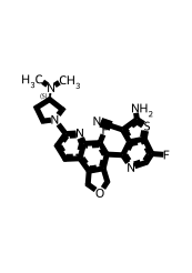 CN(C)[C@H]1CCN(c2ccc3c4c(c(-c5ncc(F)c6sc(N)c(C#N)c56)c(F)c3n2)COC4)C1